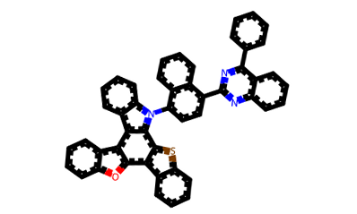 c1ccc(-c2nc(-c3ccc(-n4c5ccccc5c5c6c7ccccc7oc6c6c7ccccc7sc6c54)c4ccccc34)nc3ccccc23)cc1